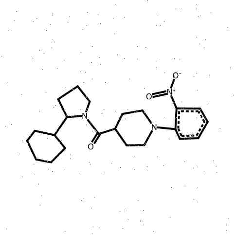 O=C(C1CCN(c2ccccc2[N+](=O)[O-])CC1)N1CCCC1C1CCCCC1